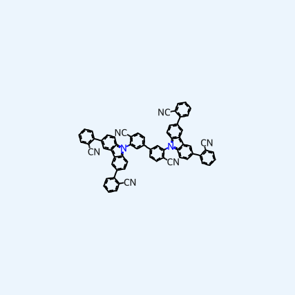 N#Cc1ccccc1-c1ccc2c(c1)c1cc(-c3ccccc3C#N)ccc1n2-c1cc(-c2ccc(C#N)c(-n3c4ccc(-c5ccccc5C#N)cc4c4cc(-c5ccccc5C#N)ccc43)c2)ccc1C#N